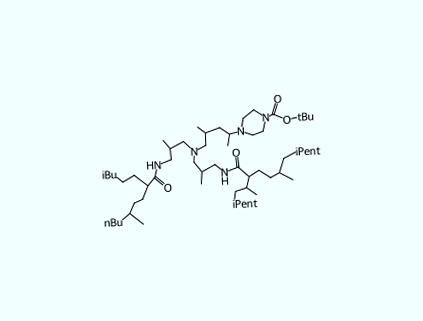 CCCCC(C)CCC(CCC(C)CC)C(=O)NCC(C)CN(CC(C)CNC(=O)C(CCC(C)CC(C)CCC)C(C)CC(C)CCC)CC(C)CC(C)N1CCN(C(=O)OC(C)(C)C)CC1